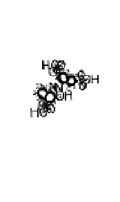 O=S(=O)(O)c1ccc2c(N=Nc3c(O)cc(S(=O)(=O)O)c4ccccc34)cc(S(=O)(=O)O)cc2c1